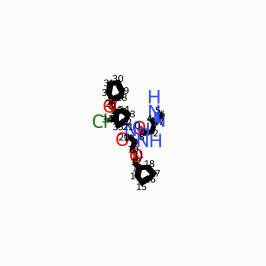 O=C(Cc1c[nH]cn1)NC(COCc1ccccc1)C(=O)Nc1ccc(Oc2ccccc2)c(Cl)c1